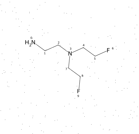 NCCN(CCF)CCF